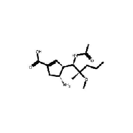 CCC[C@](C)(OC)[C@H](NC(C)=O)[C@@H]1C=C(C(=O)O)C[C@H]1N